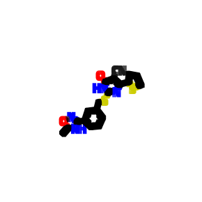 C=C1NC(c2cccc(CSc3nc(-c4cccs4)c(C#N)c(=O)[nH]3)c2)=NO1